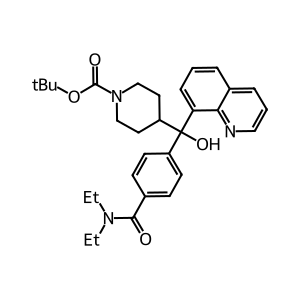 CCN(CC)C(=O)c1ccc(C(O)(c2cccc3cccnc23)C2CCN(C(=O)OC(C)(C)C)CC2)cc1